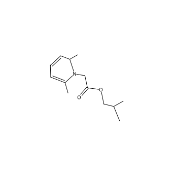 CC1=CC=CC(C)N1CC(=O)OCC(C)C